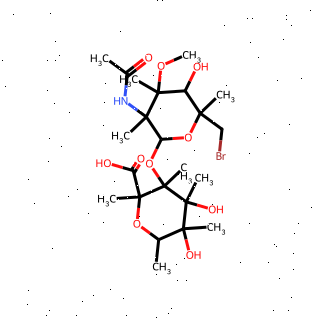 COC1(C)C(O)C(C)(CBr)OC(OC2(C)C(C)(C(=O)O)OC(C)C(C)(O)C2(C)O)C1(C)NC(C)=O